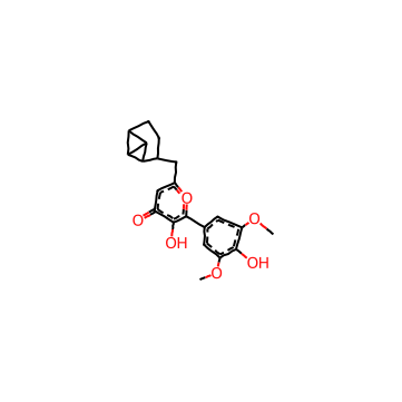 COc1cc(-c2oc(CC3CCC4C5C3C45)cc(=O)c2O)cc(OC)c1O